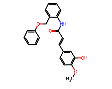 COc1ccc(C=CC(=O)Nc2ccccc2COc2ccccc2)cc1O